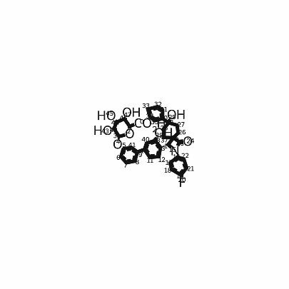 O=C(O)C1O[C@@H](Oc2cccc(-c3ccc([C@H]4N(c5ccc(F)cc5)C(=O)C45CCC(O)(c4ccccc4)CC5)c(O)c3)c2)[C@@H](O)C(O)[C@@H]1O